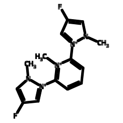 Cn1cc(F)c[n+]1-c1cccc(-[n+]2cc(F)cn2C)[n+]1C